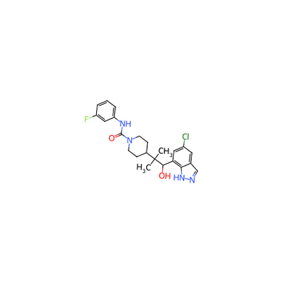 CC(C)(C1CCN(C(=O)Nc2cccc(F)c2)CC1)C(O)c1cc(Cl)cc2cn[nH]c12